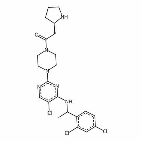 CC(Nc1nc(N2CCN(C(=O)C[C@H]3CCCN3)CC2)ncc1Cl)c1ccc(Cl)cc1Cl